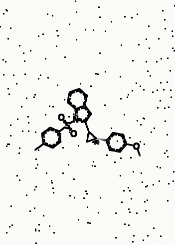 COc1ccc([C@@H]2CC2c2cc3ccccc3n2S(=O)(=O)c2ccc(C)cc2)cc1